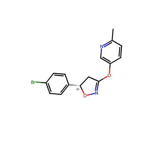 Cc1ccc(OC2=NO[C@H](c3ccc(Br)cc3)C2)cn1